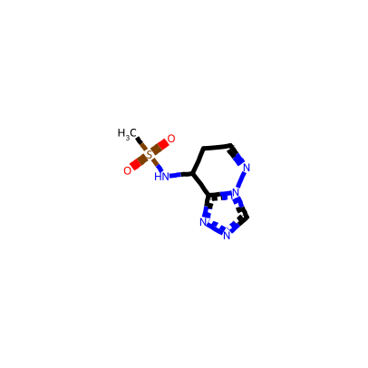 CS(=O)(=O)NC1C[C]=Nn2cnnc21